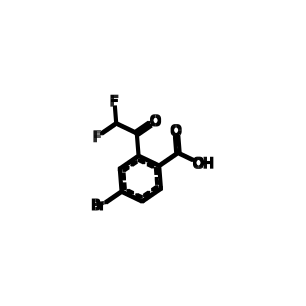 O=C(O)c1ccc(Br)cc1C(=O)C(F)F